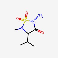 CC(C)C1C(=O)N(N)S(=O)(=O)N1C